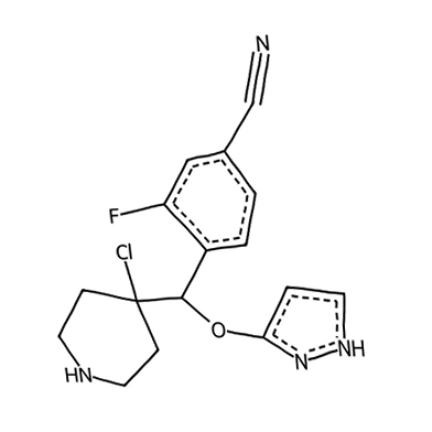 N#Cc1ccc(C(Oc2cc[nH]n2)C2(Cl)CCNCC2)c(F)c1